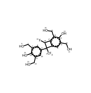 OCc1cc(C2(C(F)(F)F)c3cc(CO)c(O)c(CO)c3C2F)cc(CO)c1O